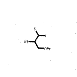 CCCCC(CC)C(F)I